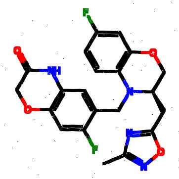 Cc1noc(C[C@@H]2COc3cc(F)ccc3N2Cc2cc3c(cc2F)OCC(=O)N3)n1